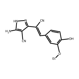 CCOc1cc(C=C(C#N)c2n[nH]c(N)c2C#N)ccc1O